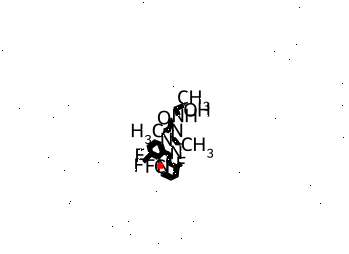 Cc1c(C(=O)NCC(C)O)nc2n1-c1ccc(C(F)(F)F)c(Cl)c1C(c1ncccc1F)=N[C@H]2C